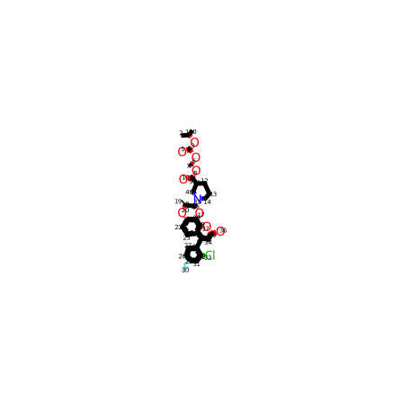 CC(C)OC(=O)OCOC(=O)C1CCCN(C(=O)[C@@H](C)Oc2ccc3c(-c4ccc(F)cc4Cl)cc(=O)oc3c2)C1